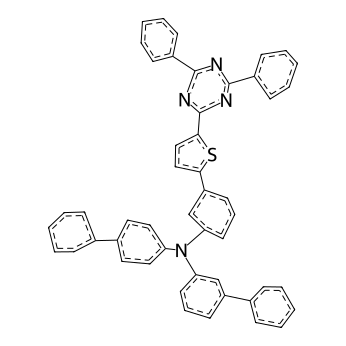 c1ccc(-c2ccc(N(c3cccc(-c4ccccc4)c3)c3cccc(-c4ccc(-c5nc(-c6ccccc6)nc(-c6ccccc6)n5)s4)c3)cc2)cc1